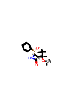 C[SiH](C)O[C@](C)([C@H]1C(=O)N[C@@H]1[S+]([O-])c1ccccc1)C(C)(C)C